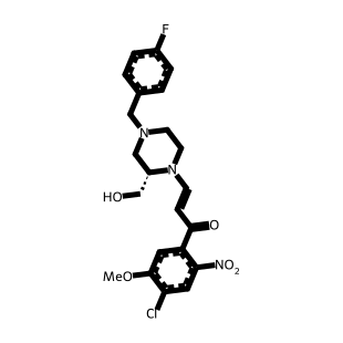 COc1cc(C(=O)/C=C/N2CCN(Cc3ccc(F)cc3)C[C@H]2CO)c([N+](=O)[O-])cc1Cl